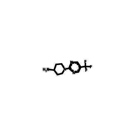 NC1CCN(c2ncc(C(F)(F)F)cn2)CC1